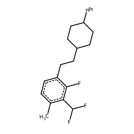 CCCC1CCC(CCc2ccc(C)c(C(F)F)c2F)CC1